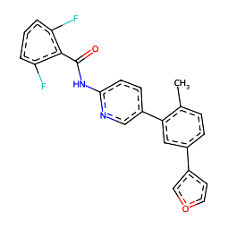 Cc1ccc(-c2ccoc2)cc1-c1ccc(NC(=O)c2c(F)cccc2F)nc1